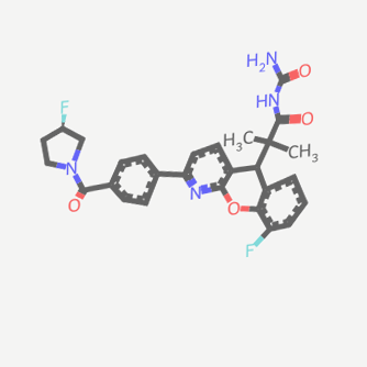 CC(C)(C(=O)NC(N)=O)C1c2ccc(-c3ccc(C(=O)N4CC[C@@H](F)C4)cc3)nc2Oc2c(F)cccc21